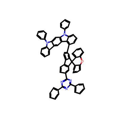 c1ccc(-c2nc(-c3ccccc3)nc(-c3ccc4c(c3)C3(c5ccccc5Oc5ccccc53)c3cc(-c5cccc6c5c5cc7c8ccccc8n(-c8ccccc8)c7cc5n6-c5ccccc5)ccc3-4)n2)cc1